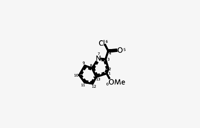 COc1cc(C(=O)Cl)nc2ccccc12